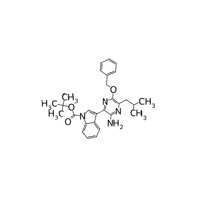 CC(C)Cc1nc(N)c(-c2cn(C(=O)OC(C)(C)C)c3ccccc23)nc1OCc1ccccc1